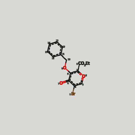 CCOC(=O)c1occ(Br)c(=O)c1OCc1ccccc1